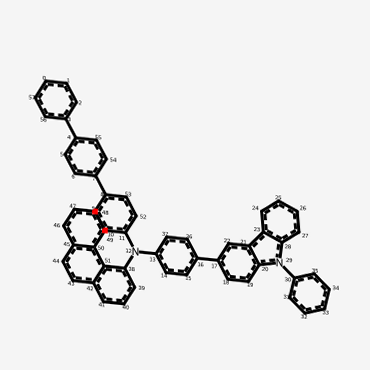 c1ccc(-c2ccc(-c3ccc(N(c4ccc(-c5ccc6c(c5)c5ccccc5n6-c5ccccc5)cc4)c4cccc5ccc6ccccc6c45)cc3)cc2)cc1